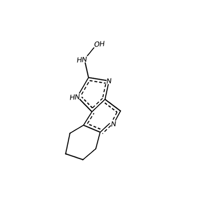 ONc1nc2cnc3c(c2[nH]1)CCCC3